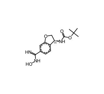 CC(C)(C)OC(=O)N[C@@H]1COc2cc(C(=N)NO)ccc21